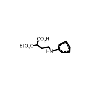 CCOC(=O)C(CCNc1ccccc1)C(=O)O